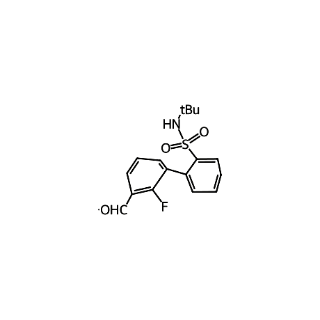 CC(C)(C)NS(=O)(=O)c1ccccc1-c1cccc([C]=O)c1F